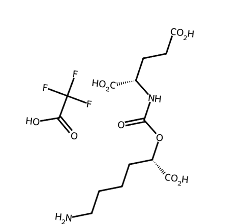 NCCCC[C@H](OC(=O)N[C@@H](CCC(=O)O)C(=O)O)C(=O)O.O=C(O)C(F)(F)F